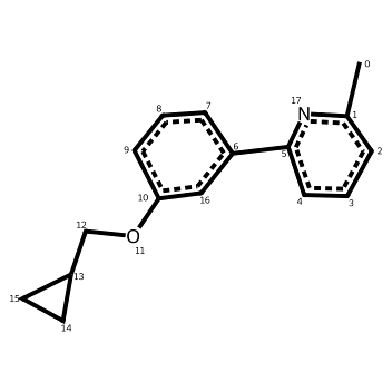 Cc1cccc(-c2cccc(OCC3CC3)c2)n1